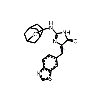 O=C1NC(NC23CC4CC(CC2C4)C3)=N/C1=C\c1ccc2ncsc2c1